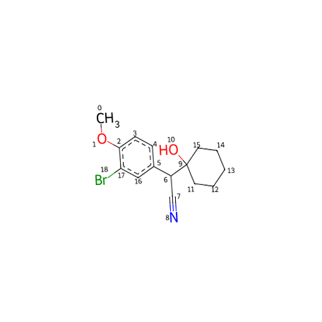 COc1ccc(C(C#N)C2(O)CCCCC2)cc1Br